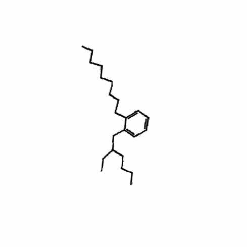 CCCCCCCCCc1ccccc1CC(CC)CCCC